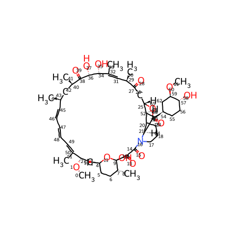 CO[C@H]1C[C@@H]2CC[C@@H](C)[C@@](O)(O2)C(=O)C(=O)N2CCCC3[C@H]2C(=O)O[C@@H](CC(=O)[C@H](C)/C=C(\C)[C@@H](O)[C@@H](O)C(=O)[C@H](C)C[C@H](C)/C=C/C=C/C=C/1C)[C@H]3C[C@@H]1CC[C@@H](O)[C@H](OC)C1